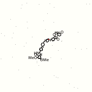 COc1cc(OC)c2c(=O)[nH]c(-c3ccc(N4CCC(CN5CC6CC5CN6c5ccc6c(c5)C(=O)N(C5CCC(=O)NC5=O)C6=O)CC4)cc3)nc2c1